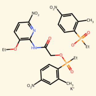 CCOc1ccc([N+](=O)[O-])nc1NC(=O)COP(=O)(CC)c1ccc([N+](=O)[O-])cc1C.CCP(=O)([O-])c1ccc([N+](=O)[O-])cc1C.[K+]